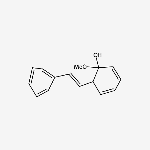 COC1(O)C=CC=CC1C=Cc1ccccc1